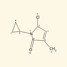 CC1=CC(Cl)N(C2CC2)C1=O